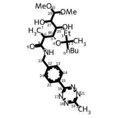 CCCCC(C)(CC)O[C@H](C(C)C(=O)NCc1ccc(-c2nnc(C)nn2)cc1)C(O)C(O)C(OC)OC